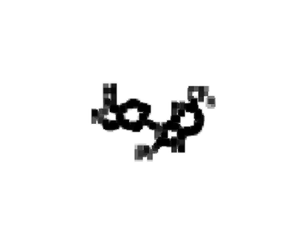 CC(C)c1nc2ccc(C(F)(F)F)nc2n1-c1ccc2[nH]ncc2c1